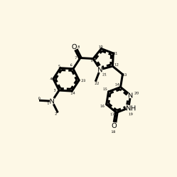 CN(C)c1ccc(C(=O)c2ccc(Cc3ccc(=O)[nH]n3)n2C)cc1